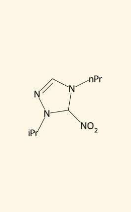 CCCN1C=NN(C(C)C)C1[N+](=O)[O-]